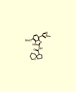 COc1ccc(-c2cnn(C)c2)c2nc(NC(=O)C3CCCC34CCCCO4)[nH]c12